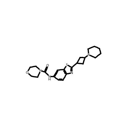 O=C(Nc1ccc2nc(C3CC(N4CCCCC4)C3)sc2c1)N1CCOCC1